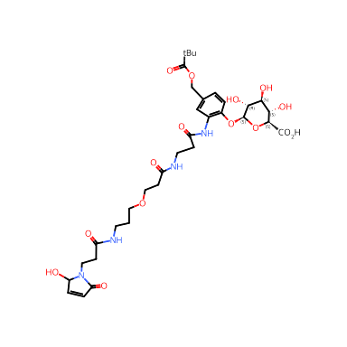 CC(C)(C)C(=O)OCc1ccc(O[C@@H]2O[C@H](C(=O)O)[C@@H](O)[C@H](O)[C@H]2O)c(NC(=O)CCNC(=O)CCOCCCNC(=O)CCN2C(=O)C=CC2O)c1